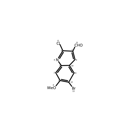 COc1cc2nc(Cl)c(C=O)cc2cc1Br